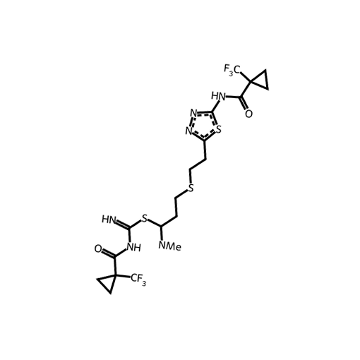 CNC(CCSCCc1nnc(NC(=O)C2(C(F)(F)F)CC2)s1)SC(=N)NC(=O)C1(C(F)(F)F)CC1